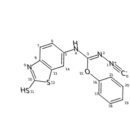 [C-]#[N+]/N=C(/Nc1ccc2nc(S)sc2c1)Oc1ccccc1